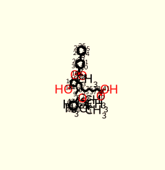 CC(C)(C)[Si](C)(C)O[C@@H](CC[C@H]1C(O)C[C@H](OC(=O)c2ccc(-c3ccccc3)cc2)[C@]1(C)CCCCCCC(=O)O)C1CCCCC1